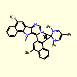 CC(C)C1=CN(C(C)C)C2([N+](C(C)C)=C1)C1(C)c3c(cc(C(C)(C)C)c4ccccc34)-c3c4c(nc[n+]3C12C)c1cc(C(C)(C)C)c2ccccc2c1n4C